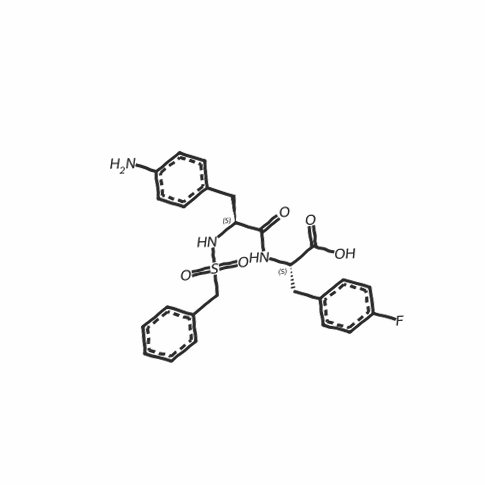 Nc1ccc(C[C@H](NS(=O)(=O)Cc2ccccc2)C(=O)N[C@@H](Cc2ccc(F)cc2)C(=O)O)cc1